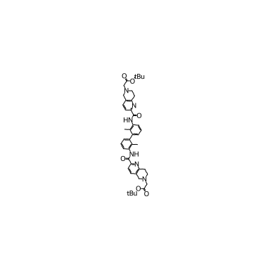 Cc1c(NC(=O)c2ccc3c(n2)CCN(CC(=O)OC(C)(C)C)C3)cccc1-c1cccc(NC(=O)c2ccc3c(n2)CCN(CC(=O)OC(C)(C)C)C3)c1C